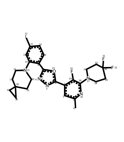 Cc1cc(-c2nnc(-c3ccc(I)cc3N3CCC4(CC3)CC4)o2)c(F)c(N2CCC(F)(F)CC2)n1